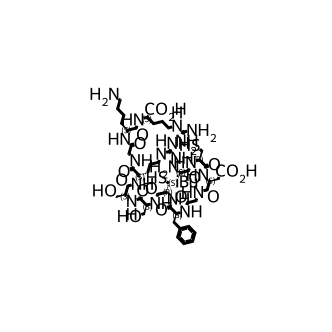 CC[C@H](C)[C@H](N)C(=O)N[C@@H](CS)C(=O)N[C@@H](CC(=O)O)C(=O)NCC(=O)N[C@@H](Cc1ccccc1)C(=O)N[C@@H](CS)C(=O)N[C@@H](CO)C(=O)N[C@@H](CO)C(=O)N[C@@H](CCCNC(=N)N)C(=O)NCC(=O)N[C@@H](CCCCN)C(=O)N[C@@H](CCCNC(=N)N)C(=O)O